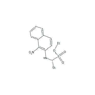 CCOS(=O)(=O)C(CC)Nc1ccc2ccccc2c1[N+](=O)[O-]